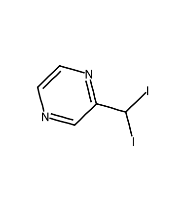 IC(I)c1cnccn1